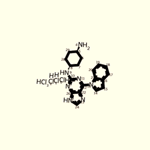 Cl.Cl.Cl.Cl.N[C@H]1CC[C@H](Nc2nc(-n3ccc4ccccc43)c3nc[nH]c3n2)CC1